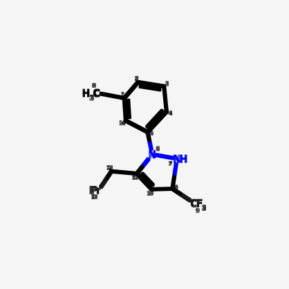 Cc1cccc(N2NC(C(F)(F)F)C=C2CC(C)C)c1